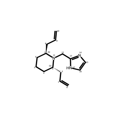 C=CC[C@@H]1CCC[C@@H](CC=C)N1Cc1ncc[nH]1